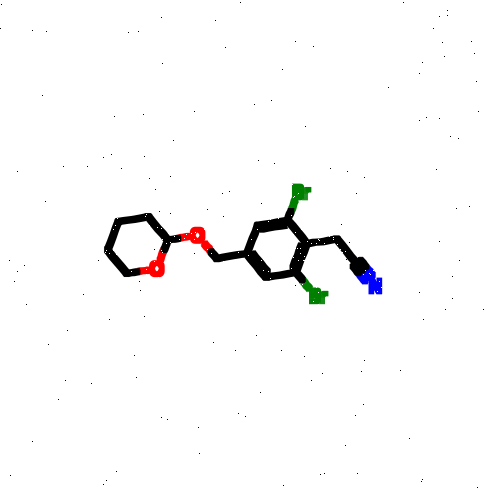 N#CCc1c(Br)cc(COC2CCCCO2)cc1Br